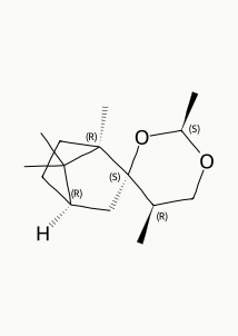 C[C@H]1OC[C@@H](C)[C@]2(C[C@H]3CC[C@]2(C)C3(C)C)O1